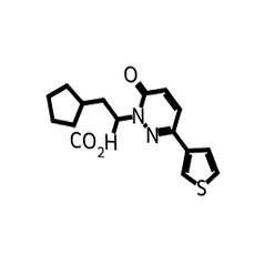 O=C(O)C(CC1CCCC1)n1nc(-c2ccsc2)ccc1=O